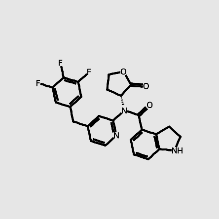 O=C1OCC[C@H]1N(C(=O)c1cccc2c1CCN2)c1cc(Cc2cc(F)c(F)c(F)c2)ccn1